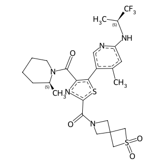 Cc1cc(N[C@@H](C)C(F)(F)F)ncc1-c1sc(C(=O)N2CC3(C2)CS(=O)(=O)C3)nc1C(=O)N1CCCC[C@@H]1C